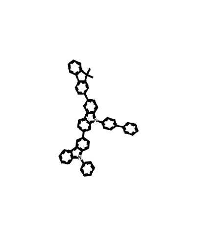 CC1(C)c2ccccc2-c2ccc(-c3ccc4c(c3)c3ccc(-c5ccc6c(c5)c5ccccc5n6-c5ccccc5)cc3n4-c3ccc(-c4ccccc4)cc3)cc21